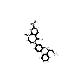 CCNc1ncc2c(n1)N(C)CCN(c1cccc(OC(CN)c3ccccc3)c1)C2=O